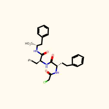 CC(C)C[C@H](NC(=O)[C@H](CCc1ccccc1)NC(=O)CCl)C(=O)N[C@@H](Cc1ccccc1)C(=O)O